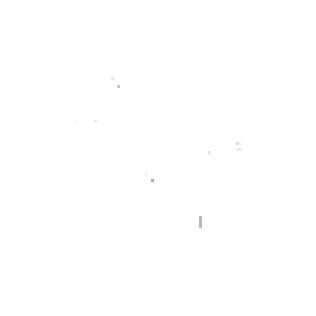 CCO[Si](CN(CC(CCN(C)C)C(=O)O)C1CCCCC1)(OCC)OCC